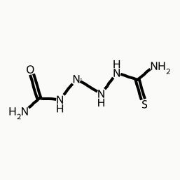 NC(=O)N[N]NNC(N)=S